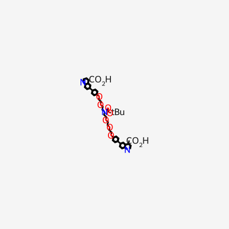 CC(C)(C)OC(=O)N(CCOCCOCCOc1ccc(-c2ccc3nccc(C(=O)O)c3c2)cc1)CCOCCOc1ccc(-c2ccc3nccc(C(=O)O)c3c2)cc1